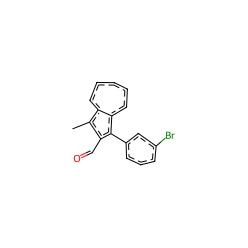 Cc1c2cccccc-2c(-c2cccc(Br)c2)c1C=O